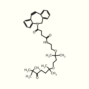 CC(C)(CCOC(C)(C)CCC(=O)C(C)(C)C)OCCNC(=O)CCC(=O)N1Cc2ccccc2C#Cc2ccccc21